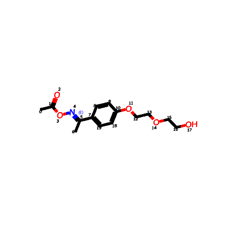 CC(=O)O/N=C(\C)c1ccc(OCCOCCO)cc1